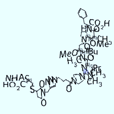 CC[C@H](C)[C@@H]([C@H](CC(=O)N1CCC[C@H]1[C@H](OC)[C@@H](C)C(=O)N[C@@H](Cc1ccccc1)C(=O)O)OC)N(C)C(=O)[C@@H](/N=C(\N(C)C)N1CCN(C(=O)CCCn2cc(CN3C(=O)CC(SC[C@H](NC(C)=O)C(=O)O)C3=O)nn2)CC1)C(C)C